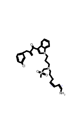 C=C(Cc1cccc(Cl)c1)C(=O)c1cn(CCCN(CCC/C=C\C=C/N)CS(C)(=O)=O)c2ccccc12